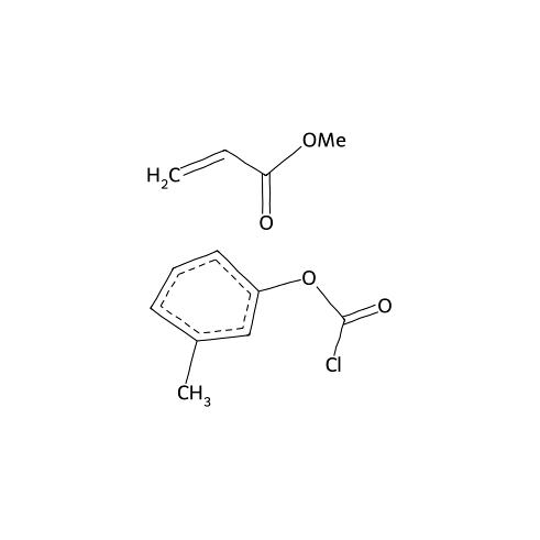 C=CC(=O)OC.Cc1cccc(OC(=O)Cl)c1